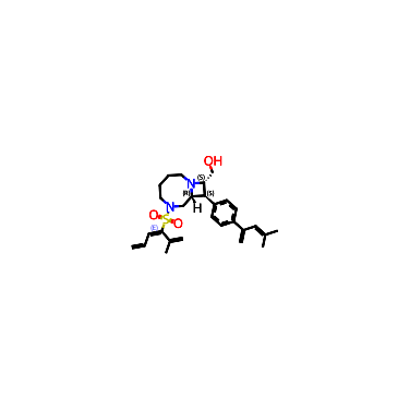 C=C/C=C(\C(=C)C)S(=O)(=O)N1CCCCN2[C@H](CO)[C@@H](c3ccc(C(=C)C=C(C)C)cc3)[C@@H]2C1